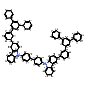 C1=CCC(C2C=C(C3=CCCC=C3)C=C(C3=CC=CC(C4C=Cc5c(c6ccccc6n5-c5ccc(-c6ccc(-n7c8ccccc8c8cc(-c9cccc(-c%10cc(-c%11ccccc%11)cc(-c%11ccccc%11)c%10)c9)ccc87)cc6)cc5)C4)C3)C2)C=C1